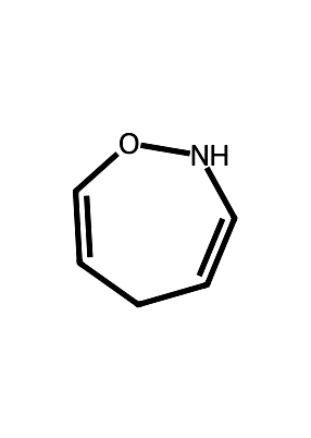 C1=CNOC=CC1